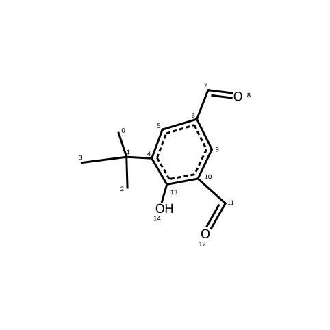 CC(C)(C)c1cc(C=O)cc(C=O)c1O